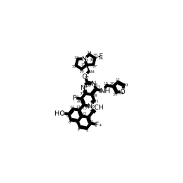 C#Cc1c(F)ccc2cc(O)cc(-c3ncc4c(NCc5ccoc5)nc(OC[C@@]56CCCN5C[C@H](F)C6)nc4c3F)c12